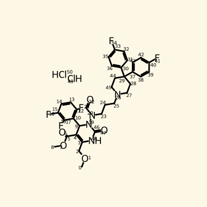 COCC1=C(C(=O)OC)C(c2c(F)ccc(F)c2F)N(N(C=O)CCCN2CCC(c3ccc(F)cc3)(c3ccc(F)cc3)CC2)C(=O)N1.Cl.Cl